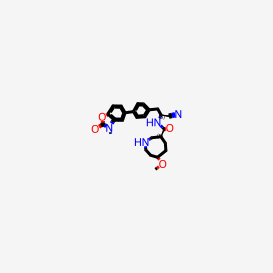 COC1CCNC[C@@H](C(=O)N[C@H](C#N)Cc2ccc(-c3ccc4oc(=O)n(C)c4c3)cc2)CC1